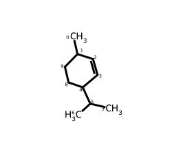 CC1C=C[C](C(C)C)CC1